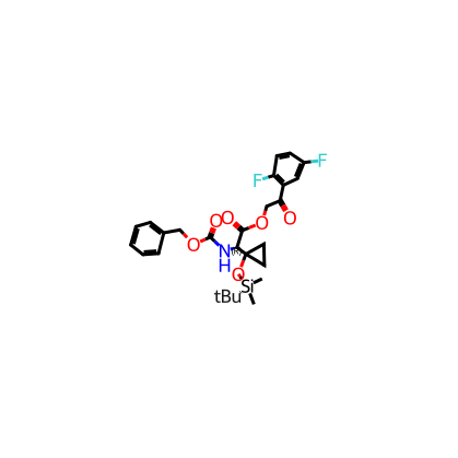 CC(C)(C)[Si](C)(C)OC1([C@@H](NC(=O)OCc2ccccc2)C(=O)OCC(=O)c2cc(F)ccc2F)CC1